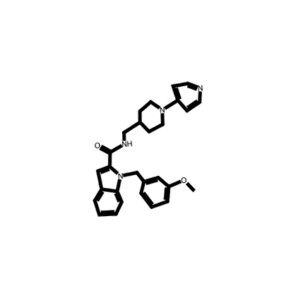 COc1cccc(Cn2c(C(=O)NCC3CCN(c4ccncc4)CC3)cc3ccccc32)c1